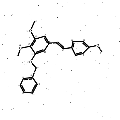 COc1ccc(C=Cc2cc(OC)c(OC)c(OCc3ccccc3)c2)cc1